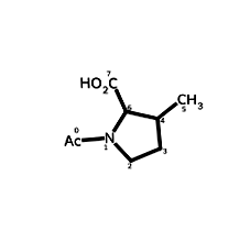 CC(=O)N1CCC(C)C1C(=O)O